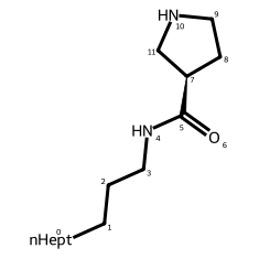 CCCCCCCCCCNC(=O)[C@@H]1CCNC1